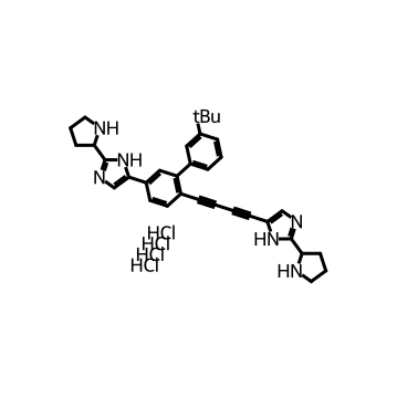 CC(C)(C)c1cccc(-c2cc(-c3cnc(C4CCCN4)[nH]3)ccc2C#CC#Cc2cnc(C3CCCN3)[nH]2)c1.Cl.Cl.Cl.Cl